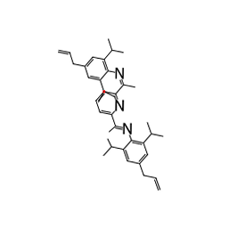 C=CCc1cc(C(C)C)c(N=C(C)c2cccc(C(C)=Nc3c(C(C)C)cc(CC=C)cc3C(C)C)n2)c(C(C)C)c1